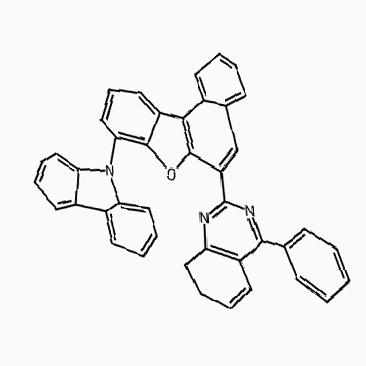 C1=Cc2c(nc(-c3cc4ccccc4c4c3oc3c(-n5c6ccccc6c6ccccc65)cccc34)nc2-c2ccccc2)CC1